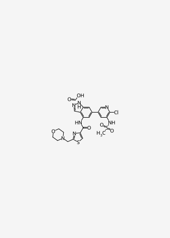 CS(=O)(=O)Nc1cc(-c2cc(NC(=O)c3csc(CN4CCOCC4)n3)c3cn[nH]c3c2)cnc1Cl.O=CO